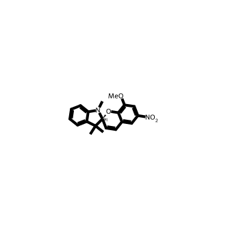 COc1cc([N+](=O)[O-])cc2c1O[C@@]1(C=C2)N(C)c2ccccc2C1(C)C